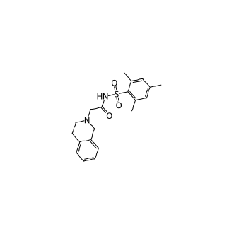 Cc1cc(C)c(S(=O)(=O)NC(=O)CN2CCc3ccccc3C2)c(C)c1